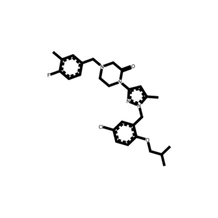 Cc1cc(CN2CCN(c3cc(C)n(Cc4cc(Cl)ccc4OCC(C)C)n3)C(=O)C2)ccc1F